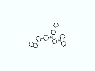 c1ccc(-c2ccc(N(c3ccc(-c4cccc(-c5cccc6ccccc56)c4)cc3)c3cccc(-n4c5ccccc5c5ccccc54)c3)cc2)cc1